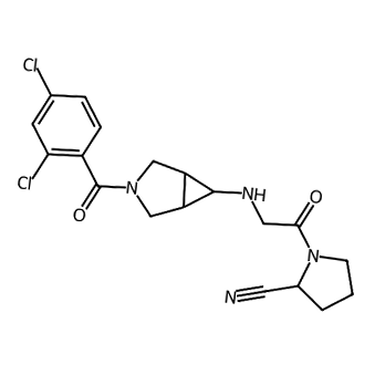 N#CC1CCCN1C(=O)CNC1C2CN(C(=O)c3ccc(Cl)cc3Cl)CC21